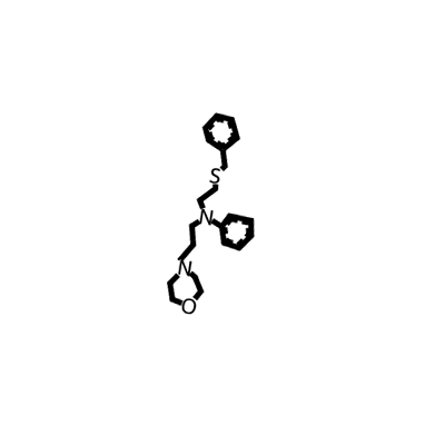 c1ccc(CSCCN(CCCN2CCOCC2)c2ccccc2)cc1